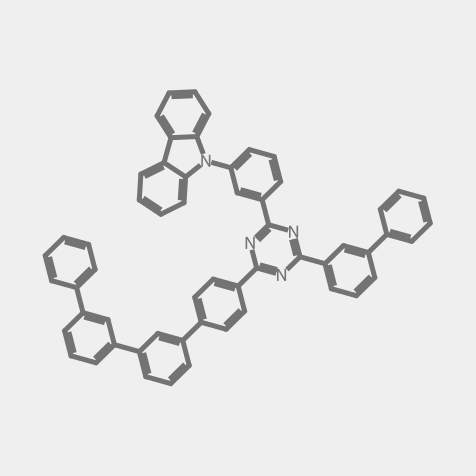 c1ccc(-c2cccc(-c3cccc(-c4ccc(-c5nc(-c6cccc(-c7ccccc7)c6)nc(-c6cccc(-n7c8ccccc8c8ccccc87)c6)n5)cc4)c3)c2)cc1